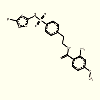 CC(C)c1nnc(NS(=O)(=O)c2ccc(CCNC(=O)c3ccc(OC(F)(F)F)cc3P)cc2)s1